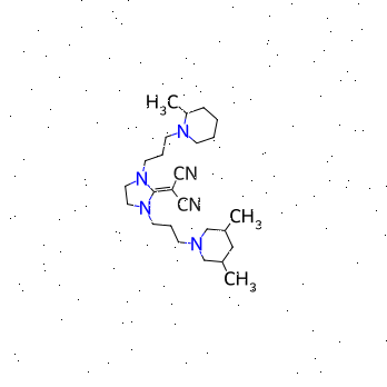 CC1CC(C)CN(CCCN2CCN(CCCN3CCCCC3C)C2=C(C#N)C#N)C1